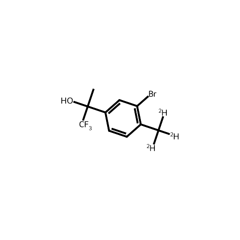 [2H]C([2H])([2H])c1ccc(C(C)(O)C(F)(F)F)cc1Br